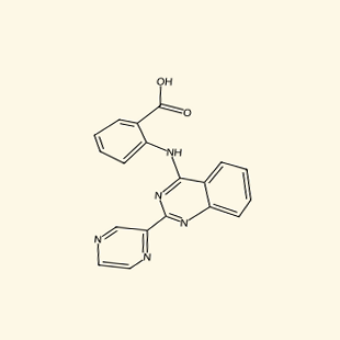 O=C(O)c1ccccc1Nc1nc(-c2cnccn2)nc2ccccc12